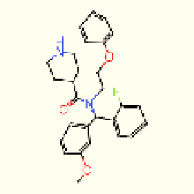 COc1cccc([C@H](c2ccccc2F)N(CCOc2ccccc2)C(=O)C2CCNCC2)c1